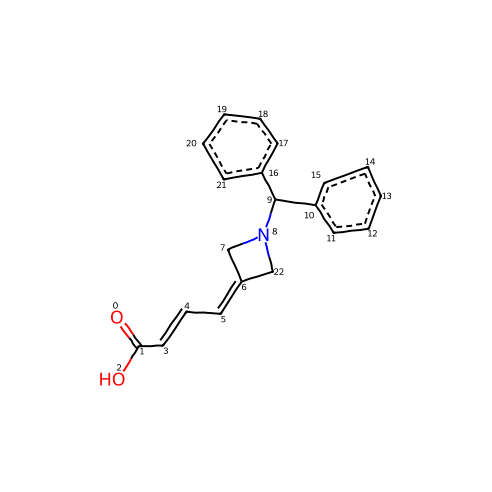 O=C(O)/C=C/C=C1CN(C(c2ccccc2)c2ccccc2)C1